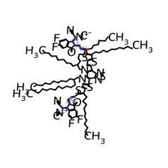 [C-]#[N+]\C(C#N)=C1/C(=C/C=C/c2sc3c(sc4c5c6nsnc6c6c7sc8c(CCCCCCCCCCC)c(/C=C/C=C9\C(=O)c%10cc(F)c(F)cc%10\C9=C(\C#N)[N+]#[C-])sc8c7n(CC(CCCCCCCCCC)CCCCCCCCCCCC)c6c5n(CC(CCCCCCCCCC)CCCCCCCCCCCC)c34)c2CCCCCCCCCCC)C(=O)c2cc(F)c(F)cc21